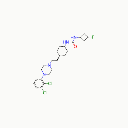 O=C(NC1CC(F)C1)N[C@H]1CC[C@H](CCN2CCN(c3cccc(Cl)c3Cl)CC2)CC1